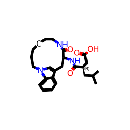 CC(C)C[C@H](CC(=O)O)C(=O)NC1Cc2cn(c3ccccc23)CCCCCCNC1=O